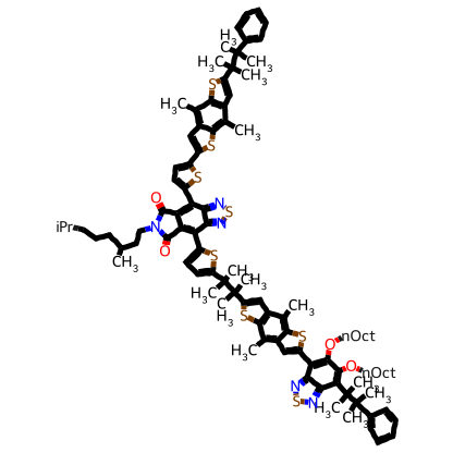 CCCCCCCCOc1c(OCCCCCCCC)c(C(C)(C)C(C)(C)c2ccccc2)c2nsnc2c1-c1cc2c(C)c3sc(C(C)(C)C(C)(C)c4ccc(-c5c6c(c(-c7ccc(-c8cc9c(C)c%10sc(C(C)(C)C(C)(C)c%11ccccc%11)cc%10c(C)c9s8)s7)c7nsnc57)C(=O)N(CCC(C)CCCC(C)C)C6=O)s4)cc3c(C)c2s1